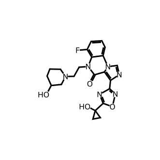 O=c1c2c(-c3noc(C4(O)CC4)n3)ncn2c2cccc(F)c2n1CCN1CCCC(O)C1